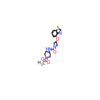 CS(=O)(=O)N1CCC(NC(=O)N2CC(Oc3cccc4scnc34)C2)CC1